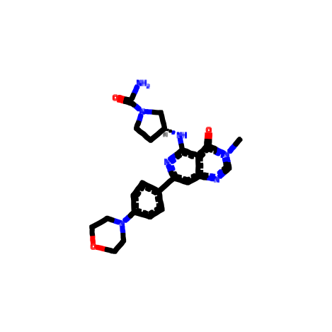 Cn1cnc2cc(-c3ccc(N4CCOCC4)cc3)nc(N[C@@H]3CCN(C(N)=O)C3)c2c1=O